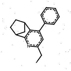 CCc1cc(-c2ccccc2)c2c(n1)C1CCC2C1